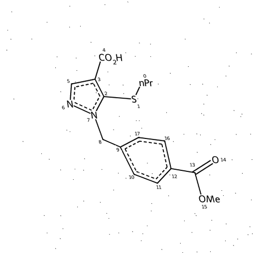 CCCSc1c(C(=O)O)cnn1Cc1ccc(C(=O)OC)cc1